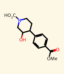 COC(=O)c1ccc(C2CCN(C(=O)O)CC2O)cc1